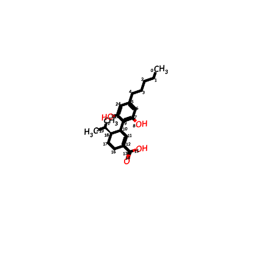 CCCCCc1cc(O)c(C2C=C(C(=O)O)CC[C@H]2C(C)C)c(O)c1